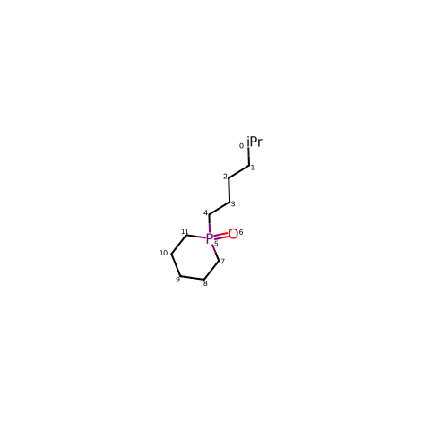 CC(C)CCCCP1(=O)CCCCC1